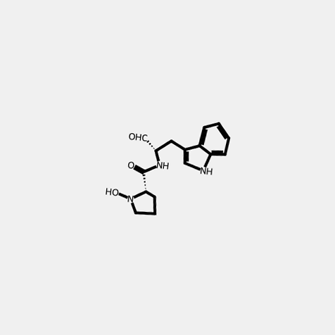 O=C[C@H](Cc1c[nH]c2ccccc12)NC(=O)[C@@H]1CCCN1O